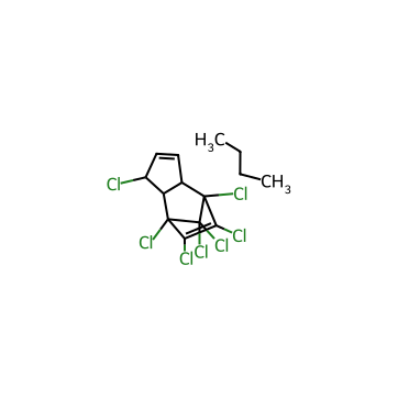 CCCC.ClC1=C(Cl)C2(Cl)C3C(Cl)C=CC3C1(Cl)C2(Cl)Cl